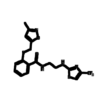 Cc1cc(CSc2ccccc2C(=O)NCCNc2nc(C(F)(F)F)cs2)on1